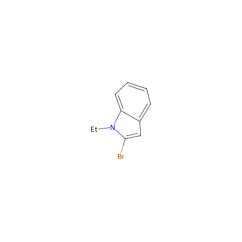 CCn1c(Br)cc2ccccc21